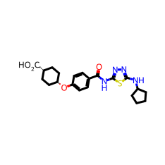 O=C(Nc1nnc(NC2CCCC2)s1)c1ccc(O[C@H]2CC[C@@H](C(=O)O)CC2)cc1